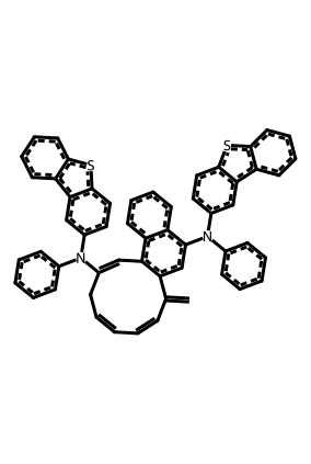 C=C1/C=C\C=C/C/C(N(c2ccccc2)c2ccc3sc4ccccc4c3c2)=C\c2c1cc(N(c1ccccc1)c1ccc3sc4ccccc4c3c1)c1ccccc21